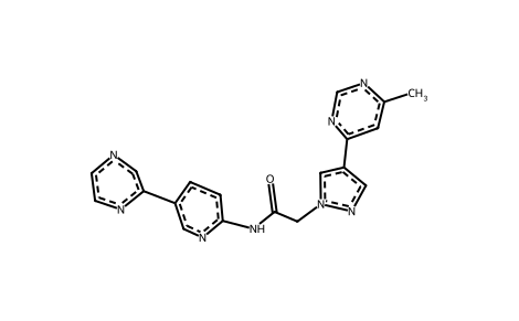 Cc1cc(-c2cnn(CC(=O)Nc3ccc(-c4cnccn4)cn3)c2)ncn1